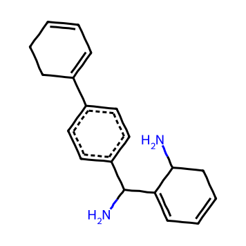 NC1CC=CC=C1C(N)c1ccc(C2=CC=CCC2)cc1